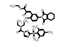 CCN(CC)C(=O)n1cnc(S(=O)(=O)c2c(C)cc(C)cc2C)n1.CCOC(=O)/C(Cl)=C/c1cc(N2C(=O)C3=C(CCCC3)C2=O)ccc1Cl